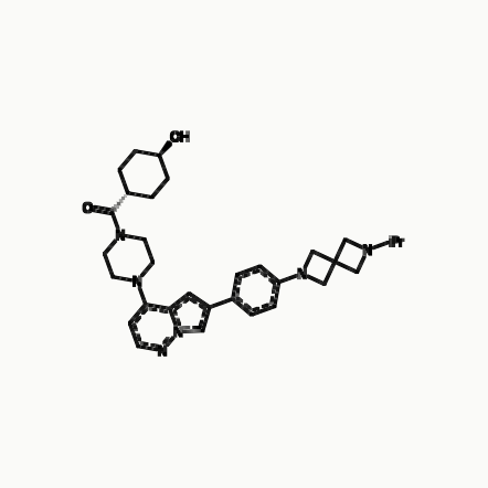 CC(C)N1CC2(CN(c3ccc(-c4cc5c(N6CCN(C(=O)[C@H]7CC[C@H](O)CC7)CC6)ccnn5c4)cc3)C2)C1